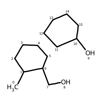 CC1CCCCC1CO.OC1CCCCC1